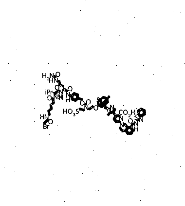 Cc1c(-c2ccc(N3CCc4cccc(C(=O)Nc5nc6ccccc6s5)c4C3)nc2C(=O)O)cnn1CC12CC3(C)CC(C)(C1)CC(OCCN(CCS(=O)(=O)O)C(=O)OCc1ccc(NC(=O)[C@H](CCCNC(N)=O)NC(=O)[C@@H](NC(=O)CCCCCNC(=O)CBr)C(C)C)cc1)(C3)C2